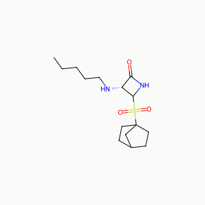 CCCCCN[C@@H]1C(=O)NC1S(=O)(=O)C12CCC(CC1)C2